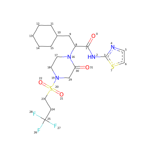 O=C(Nc1nccs1)C(CC1CCCCC1)N1CCN(S(=O)(=O)CCC(F)(F)F)CC1=O